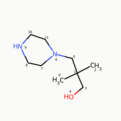 CC(C)(CO)CN1CCNCC1